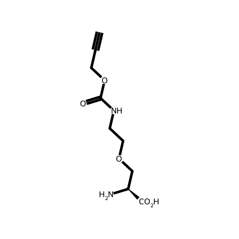 C#CCOC(=O)NCCOC[C@H](N)C(=O)O